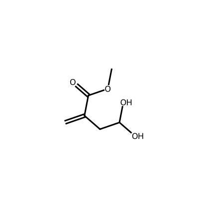 C=C(CC(O)O)C(=O)OC